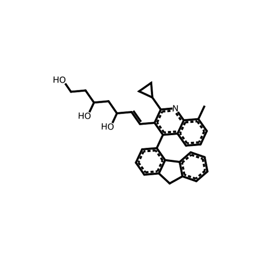 Cc1cccc2c(-c3cccc4c3-c3ccccc3C4)c(/C=C/C(O)CC(O)CCO)c(C3CC3)nc12